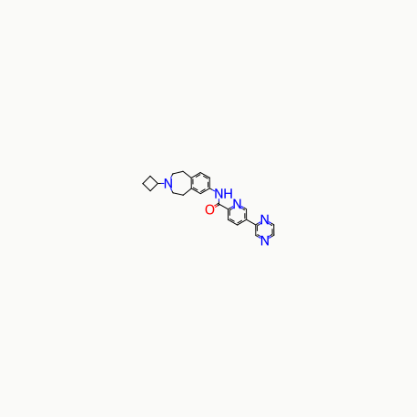 O=C(Nc1ccc2c(c1)CCN(C1CCC1)CC2)c1ccc(-c2cnccn2)cn1